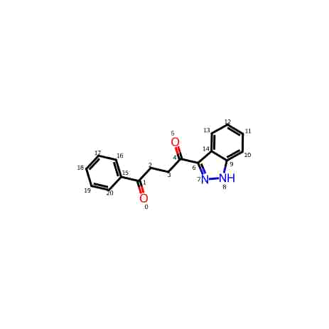 O=C(CCC(=O)c1n[nH]c2ccccc12)c1ccccc1